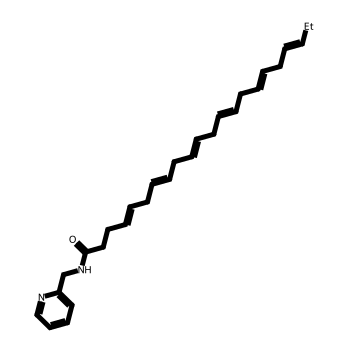 CCC=CCC=CCC=CCC=CCC=CCC=CCCC(=O)NCc1ccccn1